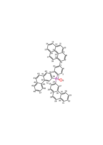 O=P(c1ccc(-c2ccc3ccc4cccc5ccc2c3c45)cc1)(c1ccc2ccc3ccccc3c2c1)c1ccc2ccc3ccccc3c2c1